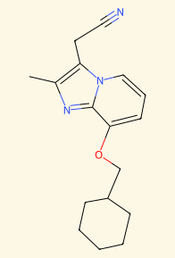 Cc1nc2c(OCC3CCCCC3)cccn2c1CC#N